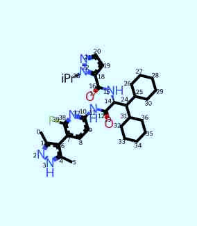 Cc1n[nH]c(C)c1-c1ccc(NC(=O)[C@@H](NC(=O)c2ccnn2C(C)C)C(C2CCCCC2)C2CCCCC2)nc1F